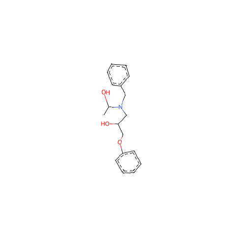 [CH2]C(O)N(Cc1ccccc1)CC(O)COc1ccccc1